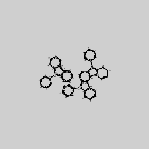 C1=Cc2c(n(-c3ccccc3)c3cc(-c4ccc5c(c4)c4ccccc4n5-c4ccccc4)c4c(c5ccccc5n4-c4ccccc4)c23)CC1